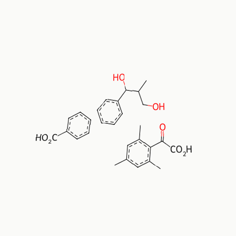 CC(CO)C(O)c1ccccc1.Cc1cc(C)c(C(=O)C(=O)O)c(C)c1.O=C(O)c1ccccc1